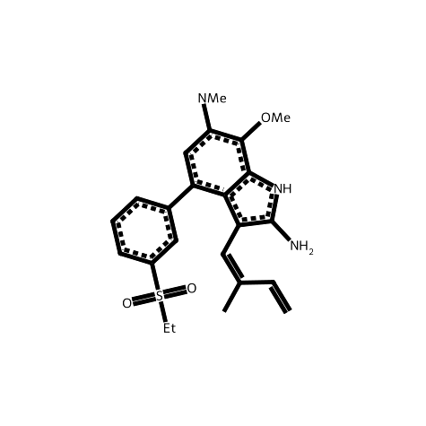 C=C/C(C)=C\c1c(N)[nH]c2c(OC)c(NC)cc(-c3cccc(S(=O)(=O)CC)c3)c12